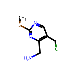 CSc1ncc(CCl)c(CN)n1